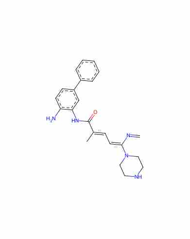 C=N/C(=C\C=C(/C)C(=O)Nc1cc(-c2ccccc2)ccc1N)N1CCNCC1